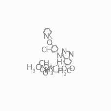 COc1cc2ncnc(Nc3ccc(OCc4ccccn4)c(Cl)c3)c2cc1OC1CCN(C(=O)OC(C)(C)C)CC1